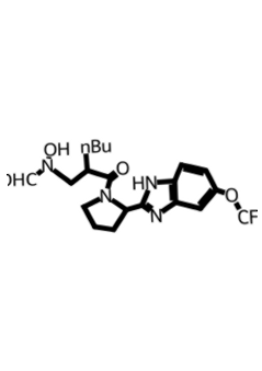 CCCCC(CN(O)C=O)C(=O)N1CCCC1c1nc2cc(OC(F)(F)F)ccc2[nH]1